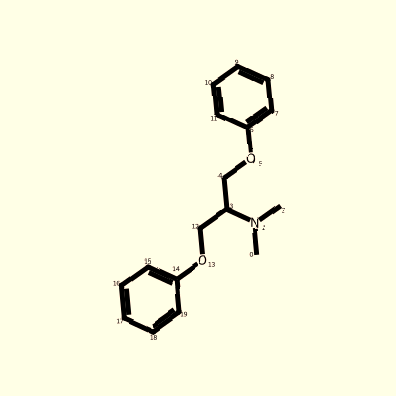 CN(C)C(COc1ccccc1)COc1ccccc1